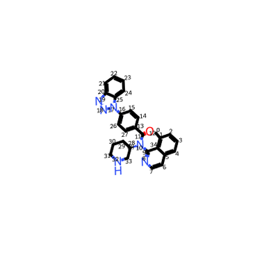 Cc1cccc2ccnc(N(C(=O)c3ccc(-n4nnc5ccccc54)cc3)[C@@H]3CCCNC3)c12